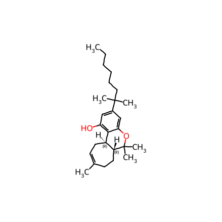 CCCCCCC(C)(C)c1cc(O)c2c(c1)OC(C)(C)[C@@H]1CCC(C)=CC[C@@H]21